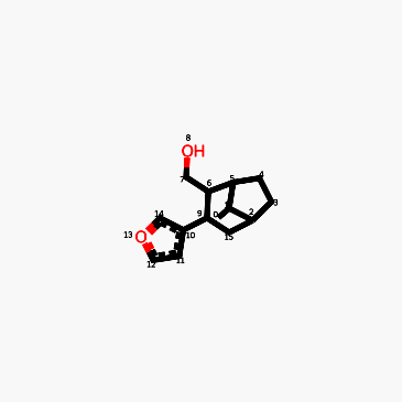 CC1C2CCC1C(CO)C(c1ccoc1)C2